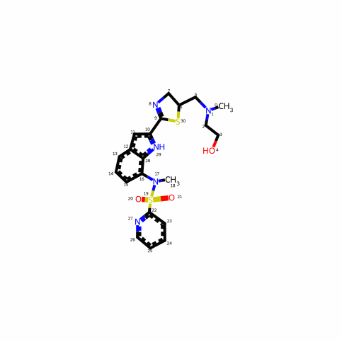 CN(CCO)CC1CN=C(c2cc3cccc(N(C)S(=O)(=O)c4ccccn4)c3[nH]2)S1